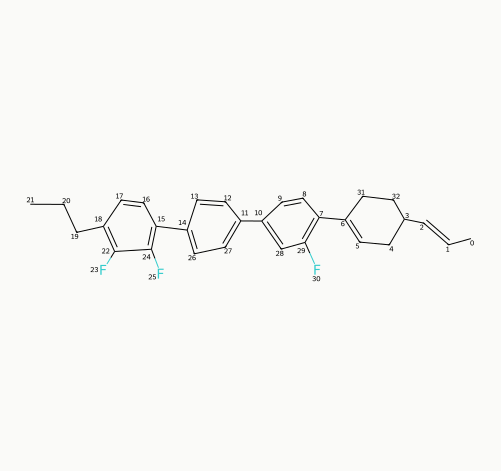 C/C=C/C1CC=C(c2ccc(-c3ccc(-c4ccc(CCC)c(F)c4F)cc3)cc2F)CC1